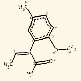 CC=C(C(=O)O)c1cc(C)ccc1OC